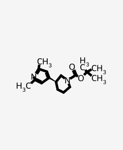 Cc1cc([C@@H]2CCCN(C(=O)OC(C)(C)C)C2)cc(C)n1